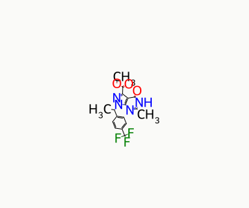 COC(=O)c1nn(C(C)c2ccc(C(F)(F)F)cc2)c2nc(C)[nH]c(=O)c12